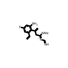 C=Cc1cc(F)cc(N)c1C(=C)C/C(=N/C=N)NC